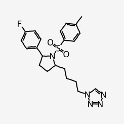 Cc1ccc(S(=O)(=O)N2C(CCCCn3cnnn3)CCC2c2ccc(F)cc2)cc1